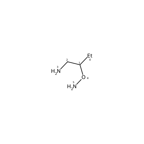 CCC(CN)ON